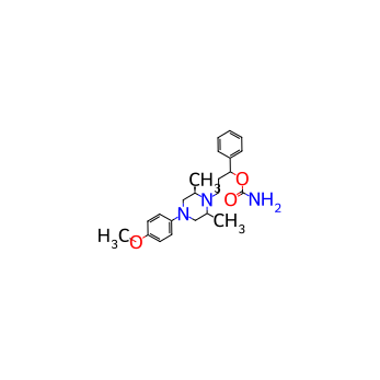 COc1ccc(N2CC(C)N(CCC(OC(N)=O)c3ccccc3)[C@H](C)C2)cc1